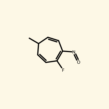 CC1C=CC(F)=C(N=O)C=C1